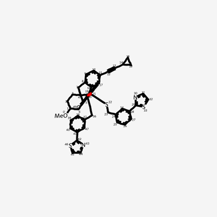 COC1CCC2(CC1)Cc1ccc(C#CC3CC3)cc1C21N=C(SCc2cccc(-c3nccs3)c2)N(Cc2cccc(-c3nccs3)c2)C1=O